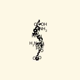 CCCN(CCO)C(=O)C1=Cc2ccc(C3(C(=O)Nc4cnc5c(c4)CN(C(=O)[C@H](CC(N)=O)NC(=O)[C@H](C)NC(=O)CCCCCN4C(=O)C=CC4=O)CC5)CC3)cc2N=C(N)C1